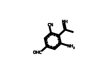 CC(=N)c1c(N)cc(C=O)cc1C#N